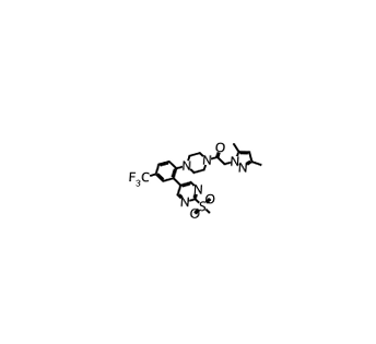 Cc1cc(C)n(CC(=O)N2CCN(c3ccc(C(F)(F)F)cc3-c3cnc(S(C)(=O)=O)nc3)CC2)n1